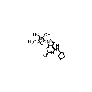 [CH2][C@H]1O[C@@H](n2ncc3c(NC4CCCC4)nc(Cl)nc32)[C@H](O)[C@@H]1O